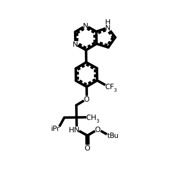 CC(C)CC(C)(COc1ccc(-c2ncnc3[nH]ccc23)cc1C(F)(F)F)NC(=O)OC(C)(C)C